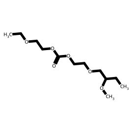 CCOCCOC(=O)OCCOCC(CC)OC